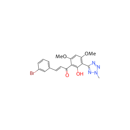 COc1cc(OC)c(-c2nnn(C)n2)c(O)c1C(=O)C=Cc1cccc(Br)c1